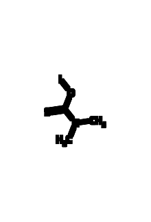 CN(C)C(=S)OI